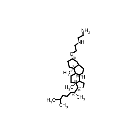 CC(C)CCC[C@@H](C)[C@H]1CCC2[C@@H]3CCC4C[C@@H](OCCNCCN)CC[C@]4(C)C3CC[C@@]21C